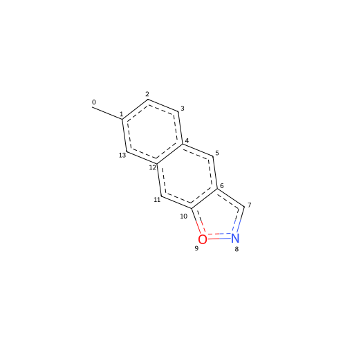 Cc1ccc2cc3cnoc3cc2c1